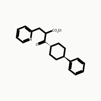 CCOC(=O)C(Cc1ccccn1)C(=O)[C@H]1CC[C@H](c2ccccc2)CC1